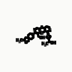 CC(O)C1CN(c2nccc(Sc3cnc(N4CCC5(CC4)CO[C@@H](C)C5)c(CO)n3)c2Cl)C1